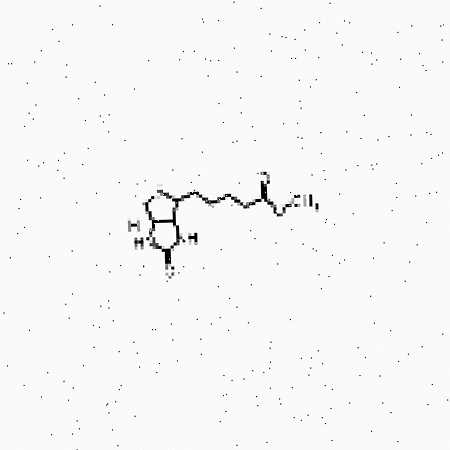 COC(=O)CCCCC1SC[C@@H]2NC(=O)NC12